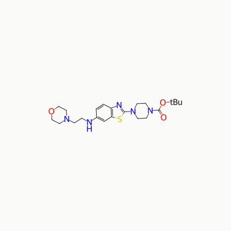 CC(C)(C)OC(=O)N1CCN(c2nc3ccc(NCCN4CCOCC4)cc3s2)CC1